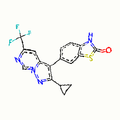 O=c1[nH]c2ccc(-c3c(C4CC4)nn4cnc(C(F)(F)F)cc34)cc2s1